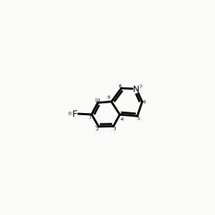 Fc1[c]cc2ccncc2c1